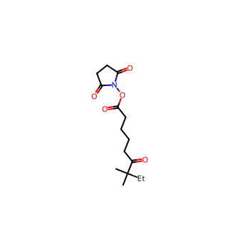 CCC(C)(C)C(=O)CCCCC(=O)ON1C(=O)CCC1=O